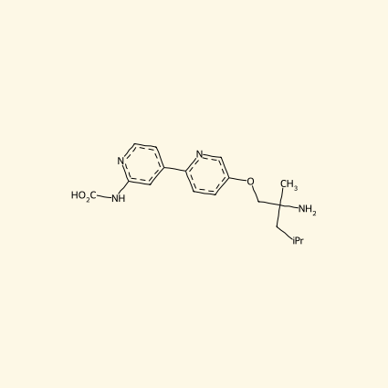 CC(C)CC(C)(N)COc1ccc(-c2ccnc(NC(=O)O)c2)nc1